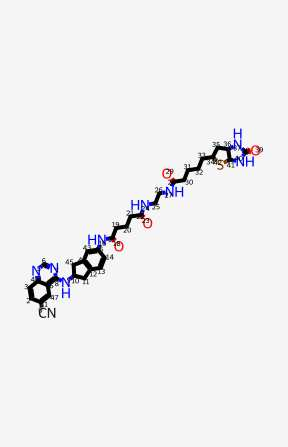 N#Cc1ccc2ncnc(NC3Cc4ccc(NC(=O)CCCC(=O)NCCNC(=O)CCCCC5CC6NC(=O)NC6S5)cc4C3)c2c1